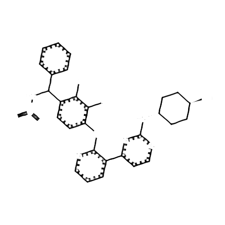 O=[SH](=O)NC(c1ccccc1)c1ccc(Oc2ncccc2-c2ccnc(N[C@H]3CC[C@H](O)CC3)n2)c(F)c1F